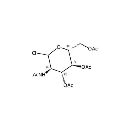 CC(=O)N[C@H]1C(Cl)O[C@H](COC(C)=O)[C@@H](OC(C)=O)[C@@H]1OC(C)=O